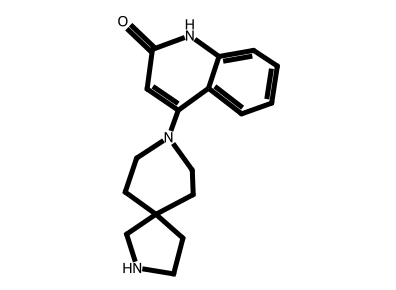 O=c1cc(N2CCC3(CCNC3)CC2)c2ccccc2[nH]1